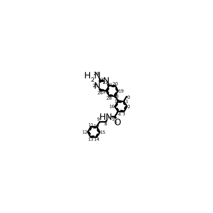 Cc1ccc(C(=O)NCCc2ccccc2)cc1-c1ccc2nc(N)ncc2c1